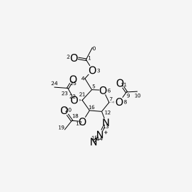 CC(=O)OCC1O[C@H](OC(C)=O)C(N=[N+]=[N-])C(OC(C)=O)[C@@H]1OC(C)=O